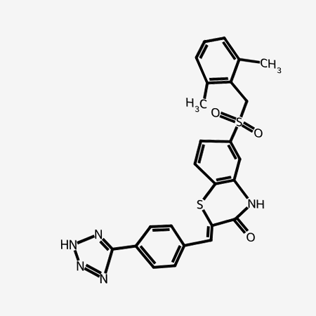 Cc1cccc(C)c1CS(=O)(=O)c1ccc2c(c1)NC(=O)C(=Cc1ccc(-c3nn[nH]n3)cc1)S2